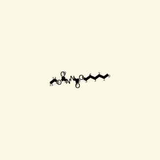 CCCCCCOC(=O)N=NC(=O)OCC